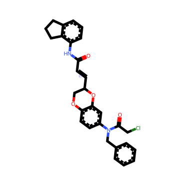 O=C(/C=C/C1COc2ccc(N(Cc3ccccc3)C(=O)CCl)cc2O1)Nc1cccc2c1CCC2